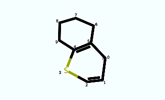 [C]1C=CSC2=C1CCCC2